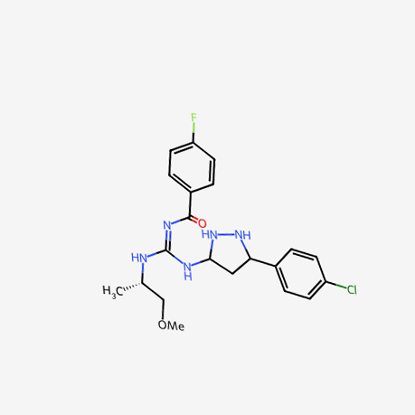 COC[C@H](C)N/C(=N/C(=O)c1ccc(F)cc1)NC1CC(c2ccc(Cl)cc2)NN1